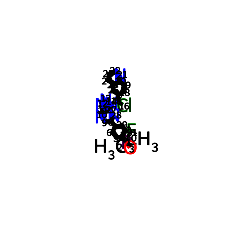 CP(C)(=O)c1ccc(-c2cnc3nnn(C(Cl)c4ccc5ncccc5c4)c3n2)cc1F